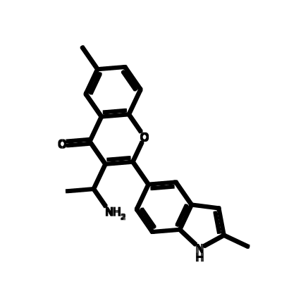 Cc1ccc2oc(-c3ccc4[nH]c(C)cc4c3)c(C(C)N)c(=O)c2c1